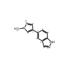 Cn1cc(-c2ccc3[nH]ncc3c2)cn1